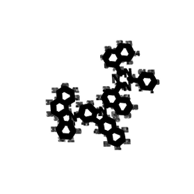 c1ccc(-c2nc(-c3cccc4ccccc34)nc(-c3ccc(-n4c5ccc(-n6c7ccccc7c7ccc8ccccc8c76)cc5c5cc6ccccc6cc54)c4ccccc34)n2)cc1